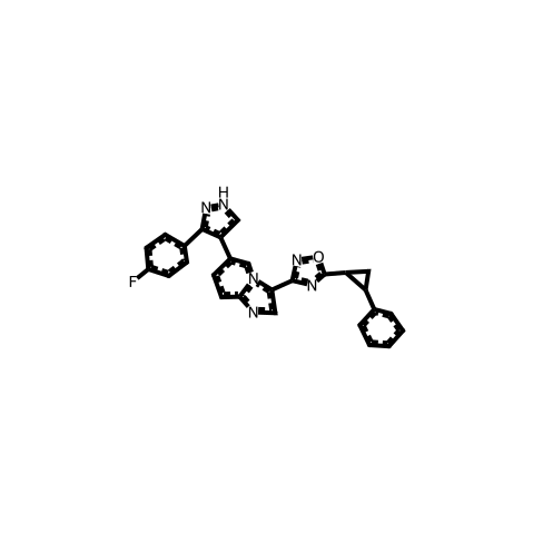 Fc1ccc(-c2n[nH]cc2-c2ccc3ncc(-c4noc(C5CC5c5ccccc5)n4)n3c2)cc1